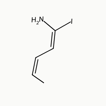 C/C=C\C=C(/N)I